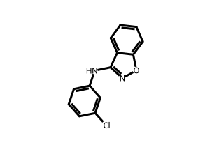 Clc1cccc(Nc2noc3ccccc23)c1